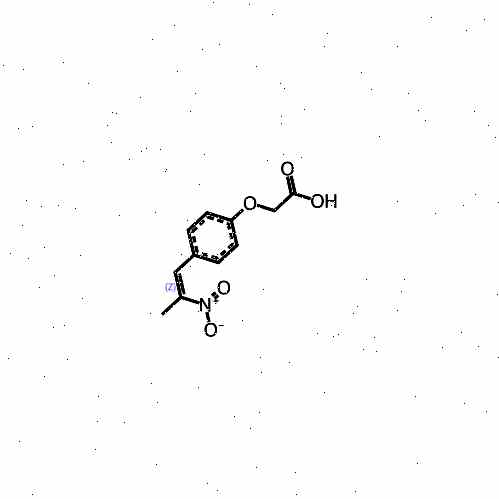 C/C(=C/c1ccc(OCC(=O)O)cc1)[N+](=O)[O-]